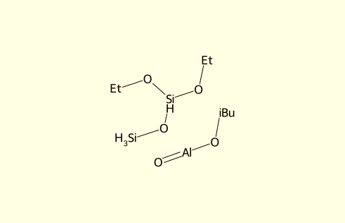 CCC(C)[O][Al]=[O].CCO[SiH](O[SiH3])OCC